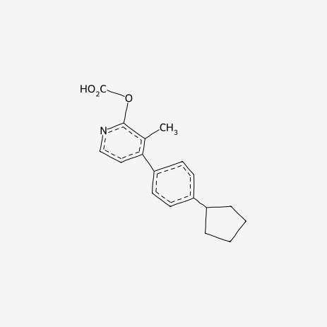 Cc1c(-c2ccc(C3CCCC3)cc2)ccnc1OC(=O)O